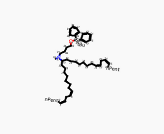 CCCCC/C=C\C/C=C\CCCCCCCC(CCCCCCC/C=C\C/C=C\CCCCC)N(C)CCCCO[Si](c1ccccc1)(c1ccccc1)C(C)(C)C